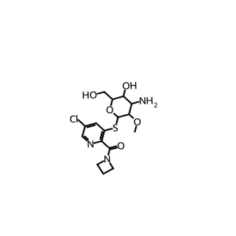 COC1C(Sc2cc(Cl)cnc2C(=O)N2CCC2)OC(CO)C(O)C1N